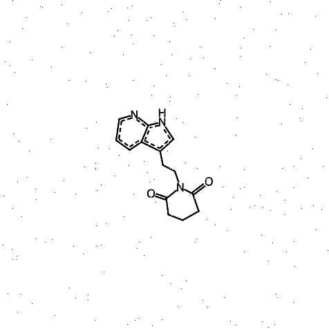 O=C1CCCC(=O)N1CCc1c[nH]c2ncccc12